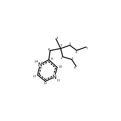 CCCC(C)(CCC)Cc1cnccn1